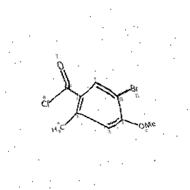 COc1cc(C)c(C(=O)Cl)cc1Br